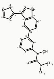 CN(C)C(=O)C(O)c1cncc(-c2cnc3[nH]cc(-c4ccn[nH]4)c3c2)c1